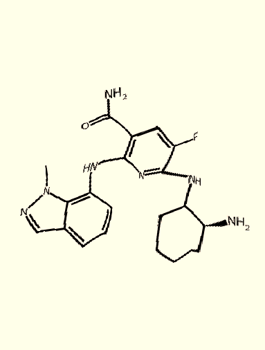 Cn1ncc2cccc(Nc3nc(NC4CCCC[C@@H]4N)c(F)cc3C(N)=O)c21